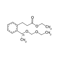 CCOCO[C@H](C)c1ccccc1CCC(=O)OCC